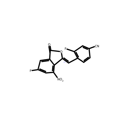 N#Cc1ccc(/C=C2\OC(=O)c3cc(F)cc([N+](=O)[O-])c32)c(F)c1